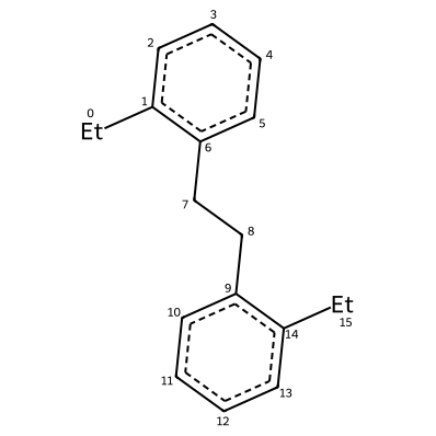 CCc1ccccc1CCc1ccccc1CC